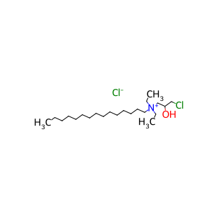 CCCCCCCCCCCCCCC[N+](CC)(CC)CC(O)CCl.[Cl-]